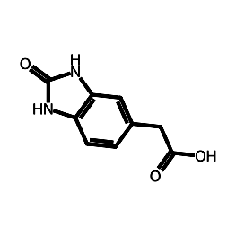 O=C(O)Cc1ccc2[nH]c(=O)[nH]c2c1